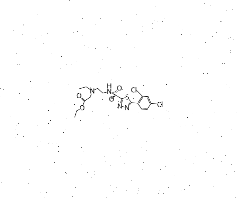 CCOC(=O)CN(CC)CCNS(=O)(=O)c1nnc(-c2ccc(Cl)cc2Cl)s1